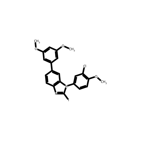 COc1cc(OC)cc(-c2ccc3nc(I)n(-c4ccc(OC)c(Cl)c4)c3c2)c1